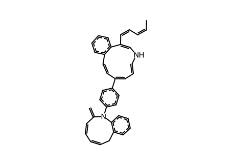 C=C1/C=C\C=C/Cc2ccccc2N1c1ccc(C2=C/C=C/N/C=C(/C=C\C=C/C)c3ccccc3/C=C\2)cc1